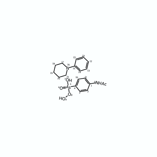 CC(=O)Nc1ccc([As](=O)(O)OO)cc1.c1ccc(N2CCCCC2)cc1